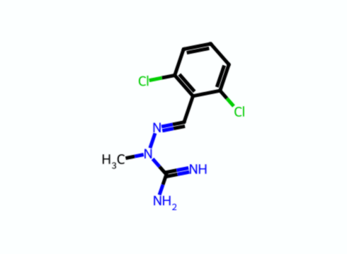 CN(/N=C/c1c(Cl)cccc1Cl)C(=N)N